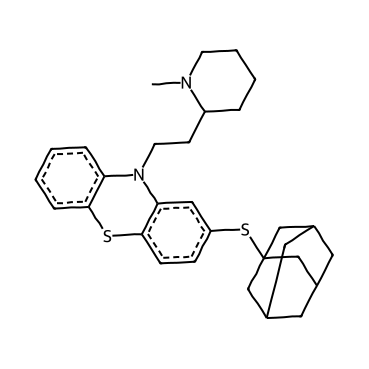 CN1CCCCC1CCN1c2ccccc2Sc2ccc(SC34CC5CC(CC(C5)C3)C4)cc21